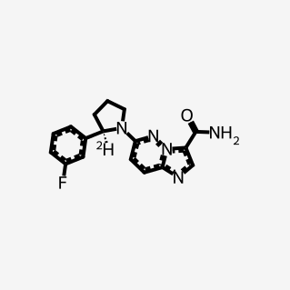 [2H][C@]1(c2cccc(F)c2)CCCN1c1ccc2ncc(C(N)=O)n2n1